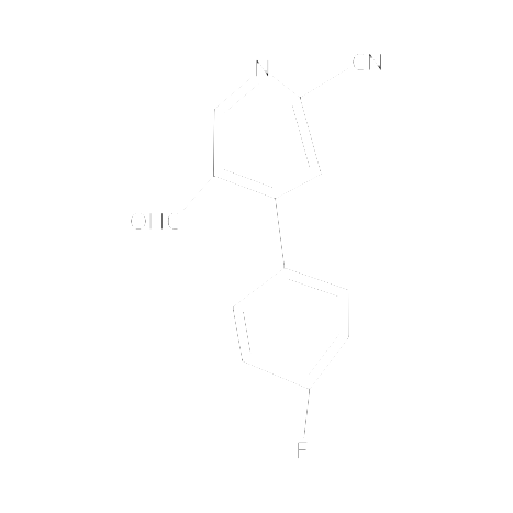 N#Cc1cc(-c2ccc(F)cc2)c(C=O)cn1